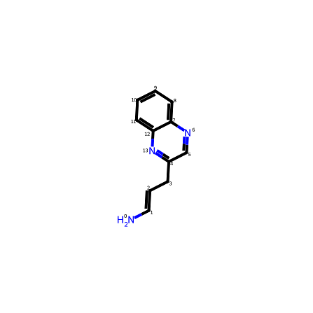 NC=CCc1cnc2ccccc2n1